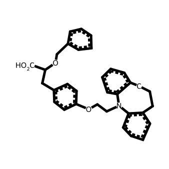 O=C(O)C(Cc1ccc(OCCN2c3ccccc3CCCc3ccccc32)cc1)OCc1ccccc1